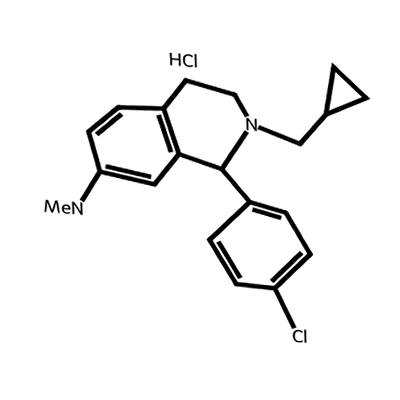 CNc1ccc2c(c1)C(c1ccc(Cl)cc1)N(CC1CC1)CC2.Cl